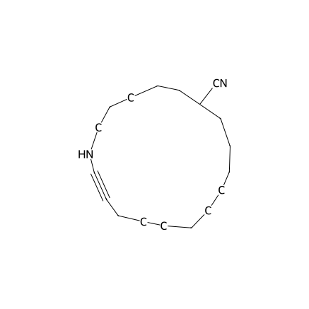 N#CC1CCCCCCCCCC#CNCCCCC1